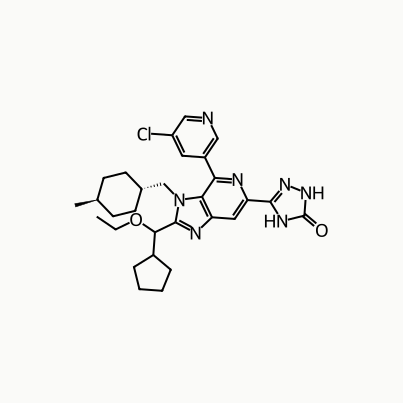 CCOC(c1nc2cc(-c3n[nH]c(=O)[nH]3)nc(-c3cncc(Cl)c3)c2n1C[C@H]1CC[C@H](C)CC1)C1CCCC1